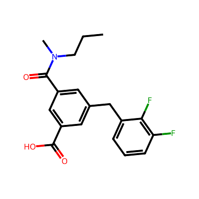 CCCN(C)C(=O)c1cc(Cc2cccc(F)c2F)cc(C(=O)O)c1